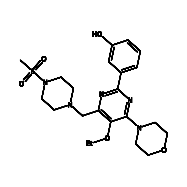 CCOc1c(CN2CCN(S(C)(=O)=O)CC2)nc(-c2cccc(O)c2)nc1N1CCOCC1